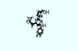 CN(C)C(=O)C1CC1c1cc(NC2CCC(F)(F)CC2)nc(-n2ccc(CO)n2)n1